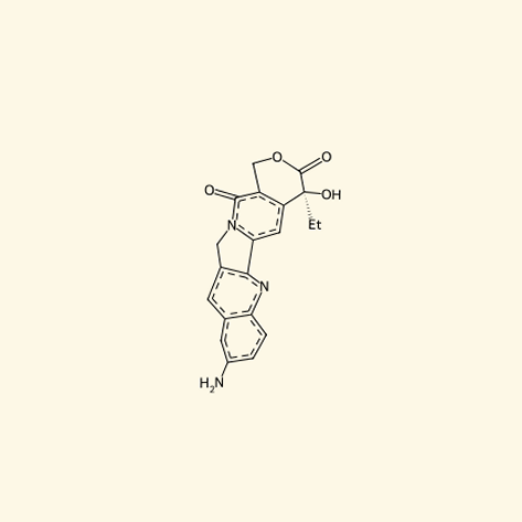 CC[C@@]1(O)C(=O)OCc2c1cc1n(c2=O)Cc2cc3cc(N)ccc3nc2-1